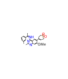 COc1cc2nc(C)nc(N[C@H](C)c3cccc(C)c3)c2cc1C1=CCS(=O)(=O)CC1